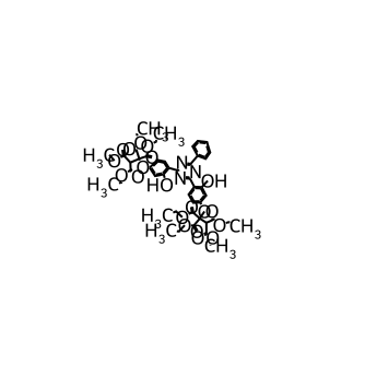 CCOC(=O)C(C(=O)OC)C(Oc1ccc(-c2nc(-c3ccccc3)nc(-c3ccc(OC(C(=O)OCC)(C(=O)OCC)C(C(=O)OC)C(=O)OCC)cc3O)n2)c(O)c1)(C(=O)OCC)C(=O)OCC